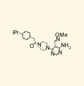 CON=Cc1c(N)ncnc1N1CCN(C(=O)Cc2ccc(C(C)C)cc2)CC1